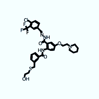 O=C(Nc1ccc(OCCN2CCCCC2)cc1C(=O)NN=Cc1ccc(Cl)c(C(F)(F)F)c1)c1cccc(CSCCO)c1